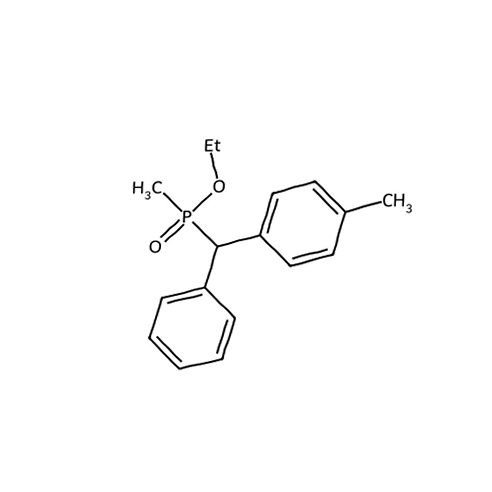 CCOP(C)(=O)C(c1ccccc1)c1ccc(C)cc1